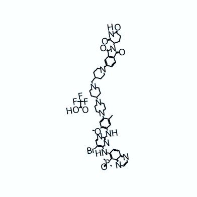 COc1cc(N2CCN(C3CCN(CC4CCN(c5ccc6c(c5)C(=O)N(C5CCC(=O)NC5=O)C6=O)CC4)CC3)CC2)c(C)cc1Nc1ncc(Br)c(Nc2ccc3nccnc3c2P(C)(C)=O)n1.O=C(O)C(F)(F)F